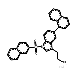 Cl.NCCc1cn(S(=O)(=O)c2ccc3ccccc3c2)c2ccc(-c3cccc4ccccc34)cc12